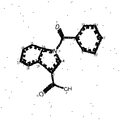 O=C(O)c1cn(C(=O)c2ccccc2)c2ccccc12